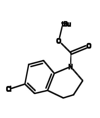 CC(C)(C)OC(=O)N1CCCc2cc(Cl)ccc21